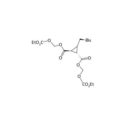 CCOC(=O)OCOC(=O)[C@H]1C(C[C@H](C)CC)[C@@H]1C(=O)OCOC(=O)OCC